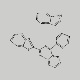 c1ccc(-c2nc(-c3cc4ccccc4s3)nc3ccccc23)cc1.c1ccc2[nH]ccc2c1